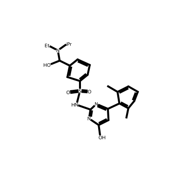 CCN(C(C)C)C(O)c1cccc(S(=O)(=O)Nc2nc(O)cc(-c3c(C)cccc3C)n2)c1